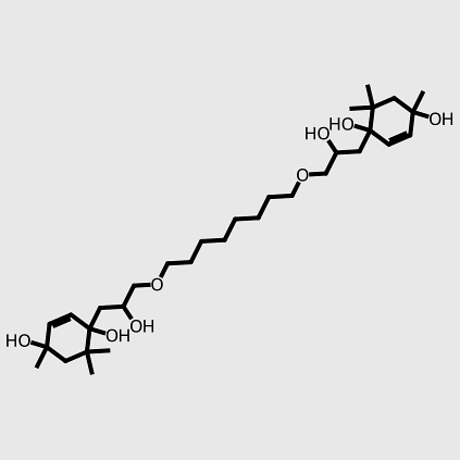 CC1(O)C=CC(O)(CC(O)COCCCCCCCCOCC(O)CC2(O)C=CC(C)(O)CC2(C)C)C(C)(C)C1